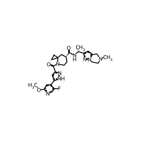 COc1cc(-c2cc(C(=O)N3CC[C@H](C(=O)N[C@H](C)c4cc5n(n4)CCN(C)C5)CC34CC4)n[nH]2)c(F)cn1